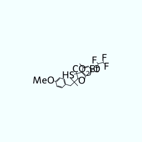 CCOC(=O)C(S)(C(=O)C(C)(C)Cc1ccc(OC)cc1)c1c(C)cc(OC(F)C(F)F)cc1C